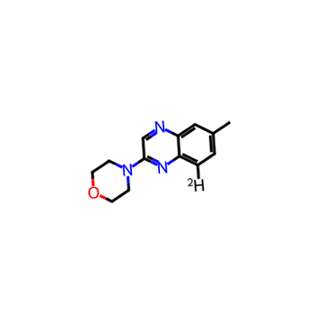 [2H]c1cc(C)cc2ncc(N3CCOCC3)nc12